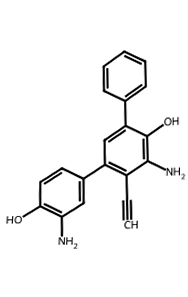 C#Cc1c(-c2ccc(O)c(N)c2)cc(-c2ccccc2)c(O)c1N